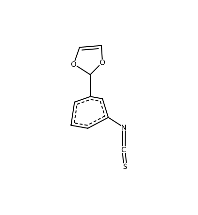 S=C=Nc1cccc(C2OC=CO2)c1